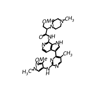 COCC(C(=O)Nc1nccc2c(-c3nc(Nc4cn(C)nc4OC)ncc3C)c[nH]c12)N1CCN(C)CC1